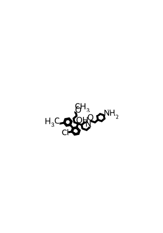 CCc1cccc(-c2c(Cl)cccc2C(O)(CCCCOC)C2CCCN(C(=O)CC3CCC(N)CC3)C2)c1